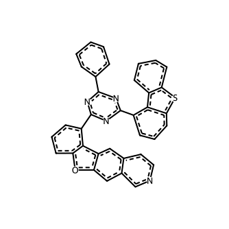 c1ccc(-c2nc(-c3cccc4oc5cc6cnccc6cc5c34)nc(-c3cccc4sc5ccccc5c34)n2)cc1